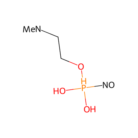 CNCCO[PH](O)(O)N=O